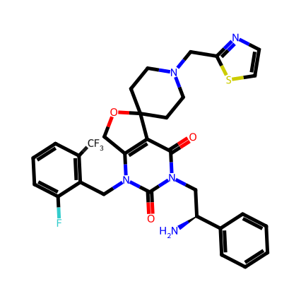 N[C@@H](Cn1c(=O)c2c(n(Cc3c(F)cccc3C(F)(F)F)c1=O)COC21CCN(Cc2nccs2)CC1)c1ccccc1